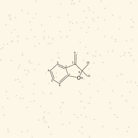 C=C1c2ccccc2OC1(C)C